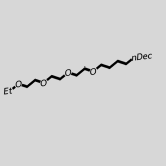 CCCCCCCCCCCCCCO[CH]COCCOCCOCC